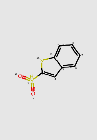 O=[SH](=O)c1cc2ccccc2s1